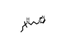 CCCC(C)(C)NCCCn1ccnc1